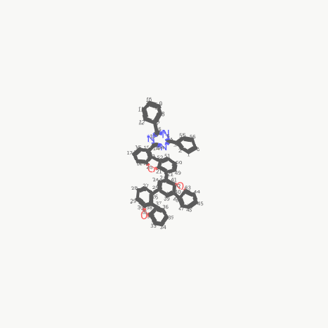 c1ccc(-c2nc(-c3ccccc3)nc(-c3cccc4oc5c(-c6cc(-c7cccc8oc9ccccc9c78)cc7c6oc6ccccc67)cccc5c34)n2)cc1